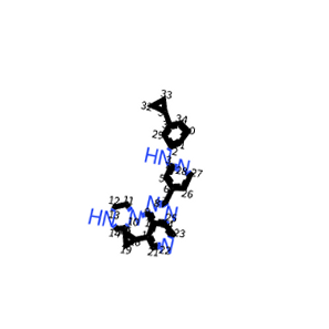 c1cc(Nc2cc(-c3nc(N4CCNCC4)c4c(C5CC5)cncc4n3)ccn2)cc(C2CC2)c1